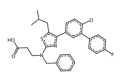 CC(C)Cc1sc(N(CCC(=O)O)Cc2ccccc2)nc1-c1ccc(Cl)c(-c2ccc(F)cc2)c1